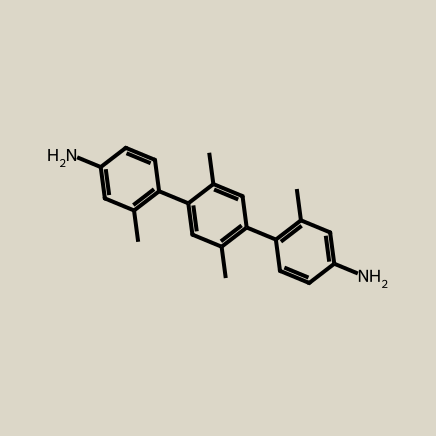 Cc1cc(N)ccc1-c1cc(C)c(-c2ccc(N)cc2C)cc1C